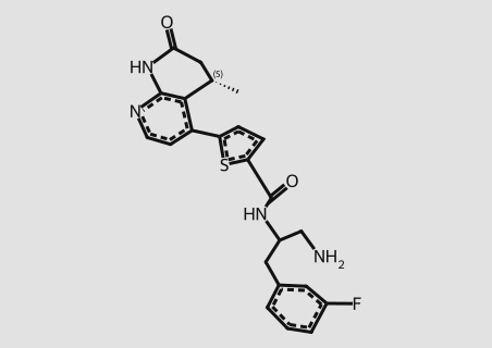 C[C@H]1CC(=O)Nc2nccc(-c3ccc(C(=O)NC(CN)Cc4cccc(F)c4)s3)c21